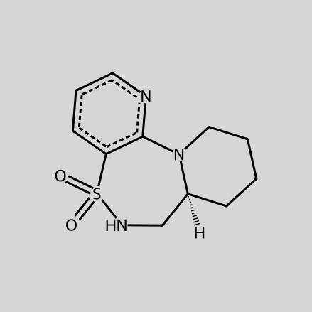 O=S1(=O)NC[C@@H]2CCCCN2c2ncccc21